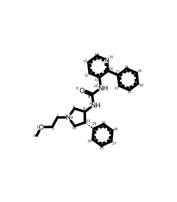 COCCN1CC(NC(=O)Nc2cccnc2-c2ccccc2)[C@H](c2ccccc2)C1